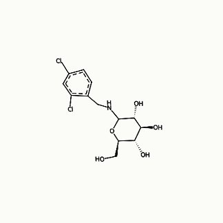 OC[C@H]1OC(NCc2ccc(Cl)cc2Cl)[C@H](O)[C@@H](O)[C@@H]1O